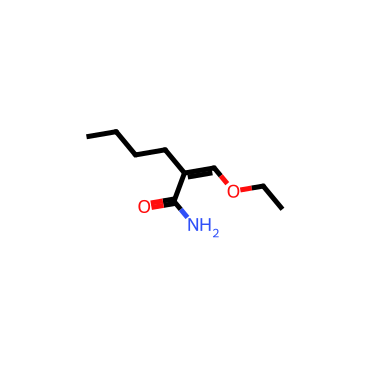 CCCCC(=COCC)C(N)=O